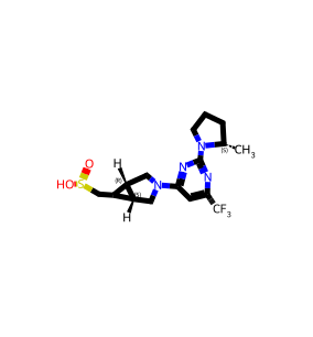 C[C@H]1CCCN1c1nc(N2C[C@@H]3C(CS(=O)O)[C@@H]3C2)cc(C(F)(F)F)n1